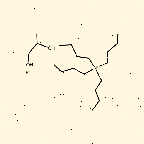 CC(O)CO.CCCC[N+](CCCC)(CCCC)CCCC.[F-]